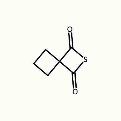 O=C1SC(=O)C12CCC2